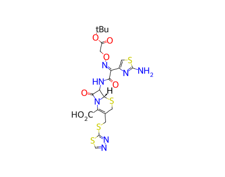 CC(C)(C)OC(=O)CON=C(C(=O)NC1C(=O)N2C(C(=O)O)=C(CSc3nncs3)CS[C@@H]12)c1csc(N)n1